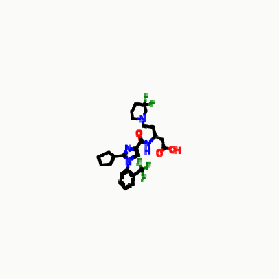 O=C(O)C[C@H](CCN1CCCC(F)(F)C1)NC(=O)c1cn(-c2ccccc2C(F)(F)F)c(C2CCCC2)n1